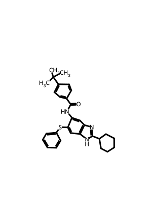 CC(C)(C)c1ccc(C(=O)Nc2cc3nc(C4CCCCC4)[nH]c3cc2Sc2ccccc2)cc1